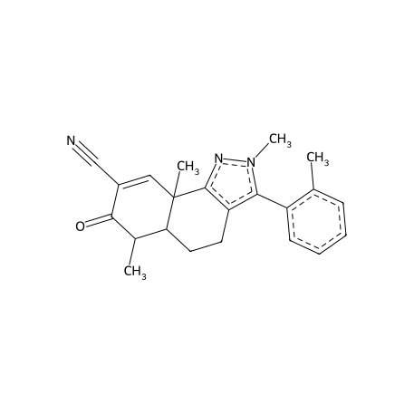 Cc1ccccc1-c1c2c(nn1C)C1(C)C=C(C#N)C(=O)C(C)C1CC2